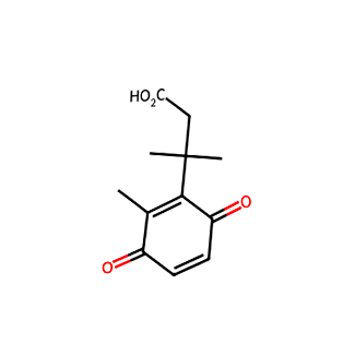 CC1=C(C(C)(C)CC(=O)O)C(=O)C=CC1=O